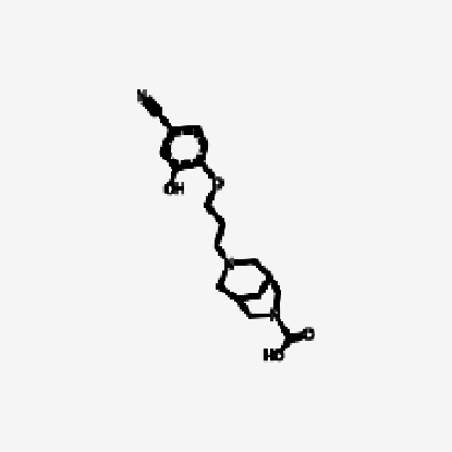 N#Cc1ccc(OCCCN2CC3CC(C2)CN(C(=O)O)C3)c(O)c1